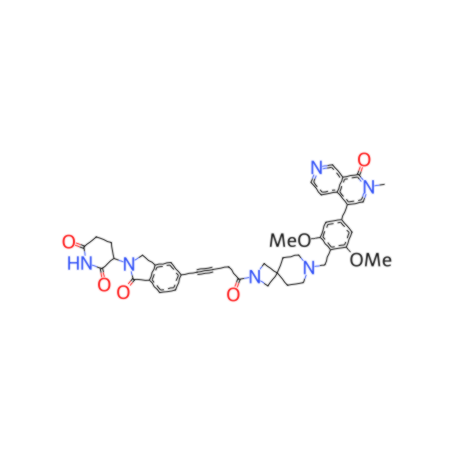 COc1cc(-c2cn(C)c(=O)c3cnccc23)cc(OC)c1CN1CCC2(CC1)CN(C(=O)CC#Cc1ccc3c(c1)CN(C1CCC(=O)NC1=O)C3=O)C2